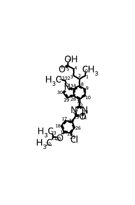 CCC(CCC(=O)O)c1ccc(-c2noc(-c3ccc(OC(C)C)c(Cl)c3)n2)c2ccn(CC)c12